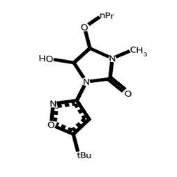 CCCOC1C(O)N(c2cc(C(C)(C)C)on2)C(=O)N1C